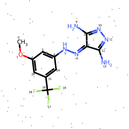 COc1cc(NN=C2C(N)=NN=C2N)cc(C(F)(F)F)c1